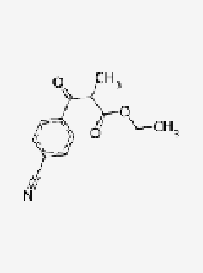 CCOC(=O)C(C)C(=O)c1ccc(C#N)cc1